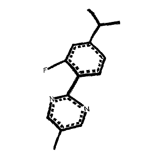 Cc1cnc(-c2ccc(C(C)C)cc2F)nc1